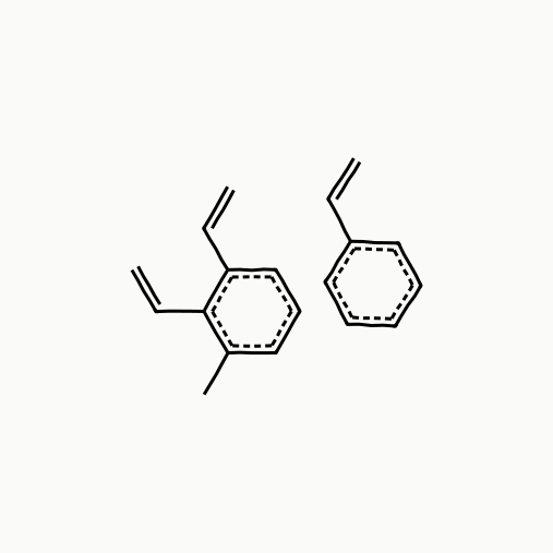 C=Cc1cccc(C)c1C=C.C=Cc1ccccc1